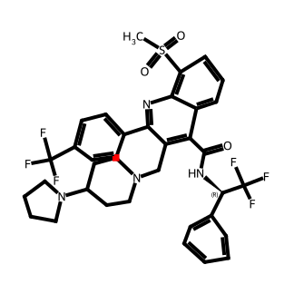 CS(=O)(=O)c1cccc2c(C(=O)N[C@H](c3ccccc3)C(F)(F)F)c(CN3CCC(N4CCCC4)CC3)c(-c3ccc(C(F)(F)F)cc3)nc12